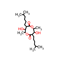 CC(C)CCCCC1C(=O)OC(C)C(O)C(CCCCC(C)C)C(=O)OC(C)C1O